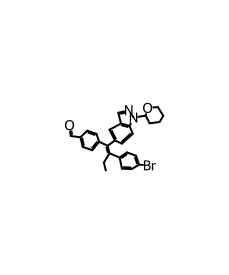 CC/C(=C(\c1ccc(C=O)cc1)c1ccc2c(cnn2C2CCCCO2)c1)c1ccc(Br)cc1